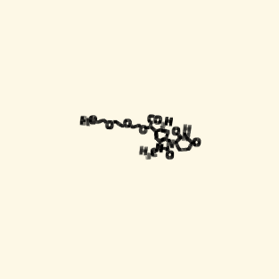 CCOCCOCCOCCOC(C(=O)O)c1ccc2c(c1)n(C)c(=O)n2C1CCC(=O)NC1=O